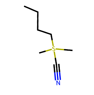 CCCCS(C)(C)C#N